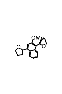 COc1cc(C2CCCO2)c2ccccc2c1C1=CCCO1